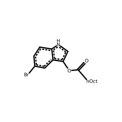 CCCCCCCCC(=O)Oc1c[nH]c2ccc(Br)cc12